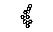 c1ccc(-c2ccccc2-c2cccc3c2oc2cc4ccccc4cc23)c(-c2cnc3c4ccccc4c4ccccc4c3n2)c1